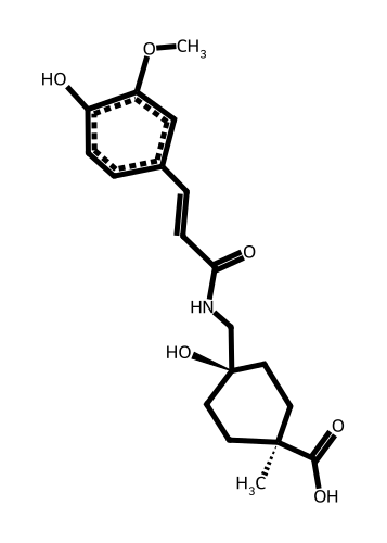 COc1cc(/C=C/C(=O)NC[C@]2(O)CC[C@@](C)(C(=O)O)CC2)ccc1O